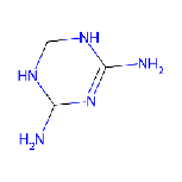 NC1=NC(N)NCN1